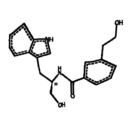 O=C(N[C@@H](CO)Cc1c[nH]c2ccccc12)c1cccc(CCO)c1